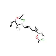 C=CC(OC(C)Cl)[SiH2]CC=CC[SiH2]C(C=C)OC(C)Cl